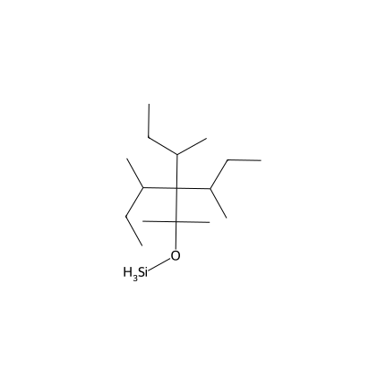 CCC(C)C(C(C)CC)(C(C)CC)C(C)(C)O[SiH3]